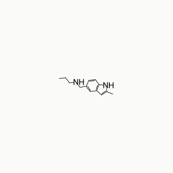 CCCNCc1ccc2[nH]c(C)cc2c1